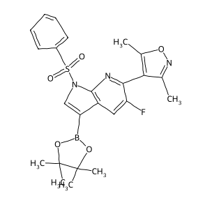 Cc1noc(C)c1-c1nc2c(cc1F)c(B1OC(C)(C)C(C)(C)O1)cn2S(=O)(=O)c1ccccc1